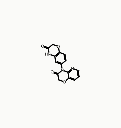 O=C1COc2ccc(N3C(=O)COc4cc[c]nc43)cc2N1